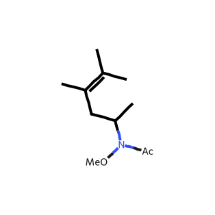 CON(C(C)=O)C(C)CC(C)=C(C)C